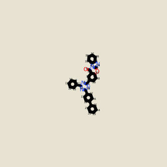 O=c1c2cc(-c3nc(-c4ccccc4)nc(-c4ccc(-c5ccccc5)cc4)n3)ccc2oc2nc3ccccc3n12